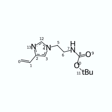 C=Cc1cn(CCNC(=O)OC(C)(C)C)cn1